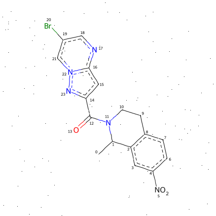 CC1c2cc([N+](=O)[O-])ccc2CCN1C(=O)c1cc2ncc(Br)cn2n1